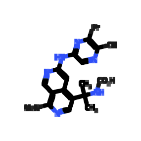 CNc1ncc(C(C)(C)NC(=O)O)c2cc(Nc3cnc(C#N)c(C(C)C)n3)ncc12